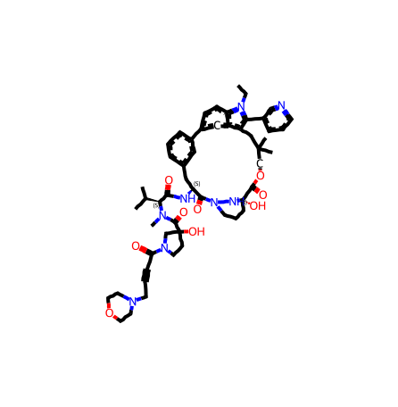 CCn1c(-c2cccnc2)c2c3cc(ccc31)-c1cccc(c1)C[C@H](NC(=O)[C@H](C(C)C)N(C)C(=O)C1(O)CCN(C(=O)C#CCN3CCOCC3)C1)C(=O)N1CCC[C@@](O)(N1)C(=O)OCC(C)(C)C2